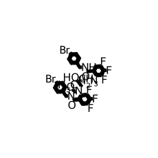 CC(C)(O)Cn1c(=O)n(Cc2ccc(Br)cc2)c(=O)c2cc(F)c(F)c(F)c21.Nc1c(C(=O)NCc2ccc(Br)cc2)cc(F)c(F)c1F